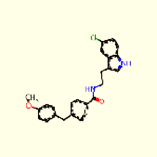 COc1ccc(Cc2ccc(C(=O)NCCc3c[nH]c4ccc(Cl)cc34)cc2)cc1